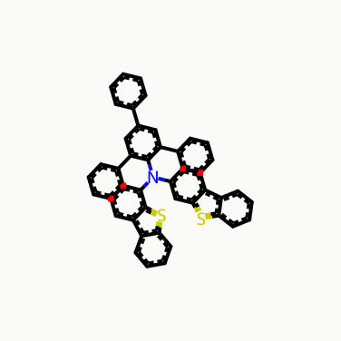 c1ccc(-c2cc(-c3ccccc3)c(N(c3ccc4c(c3)sc3ccccc34)c3cccc4c3sc3ccccc34)c(-c3ccccc3)c2)cc1